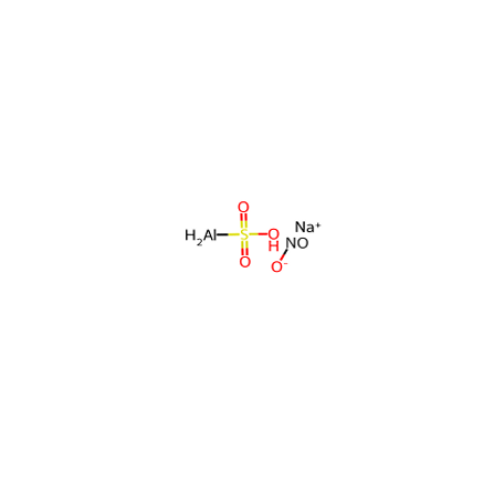 O=N[O-].O=[S](=O)(O)[AlH2].[Na+]